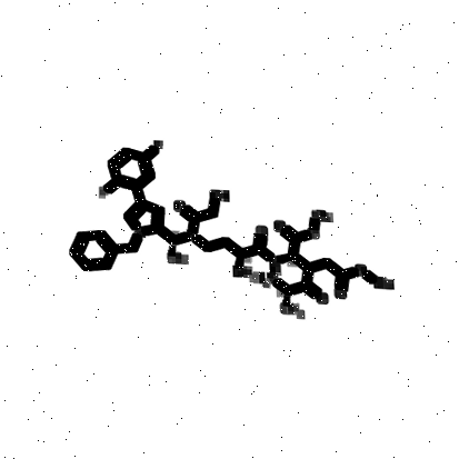 C[C@H](N)C(=O)C(CC(=O)OC(C)(C)C)[C@@H](NC(=O)[C@@H](N)CCN(C(=O)CO)[C@@H](c1cc(-c2cc(F)ccc2F)cn1Cc1ccccc1)C(C)(C)C)C(=O)OC(C)(C)C